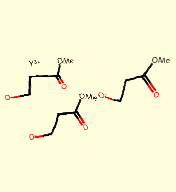 COC(=O)CC[O-].COC(=O)CC[O-].COC(=O)CC[O-].[Y+3]